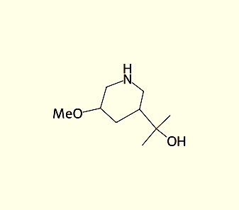 COC1CNCC(C(C)(C)O)C1